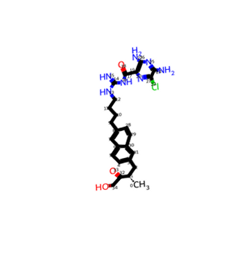 C[C@@H](Cc1ccc2cc(CCCCNC(=N)NC(=O)c3nc(Cl)c(N)nc3N)ccc2c1)C(=O)CO